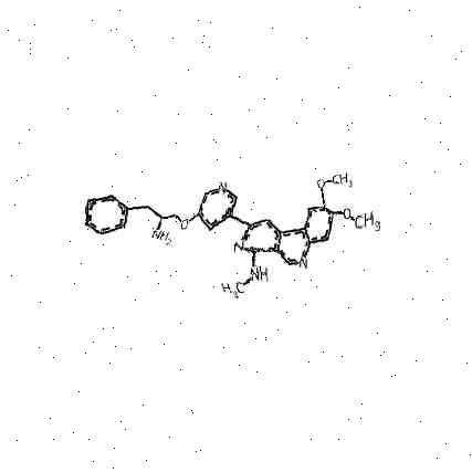 CNc1nc(-c2cncc(OC[C@@H](N)Cc3ccccc3)c2)cc2c1cnc1cc(OC)c(OC)cc12